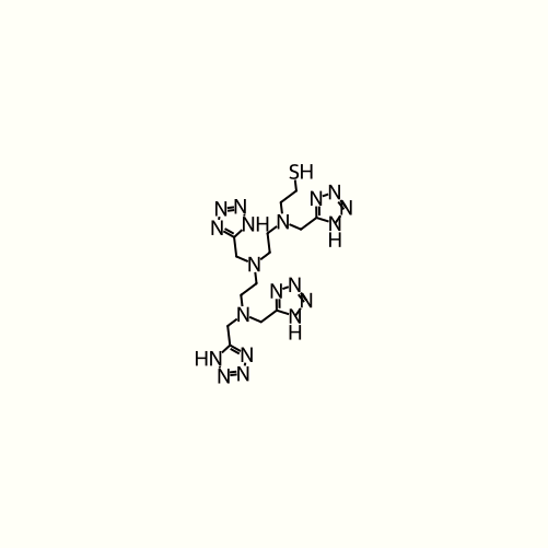 SCCN(CCN(CCN(Cc1nnn[nH]1)Cc1nnn[nH]1)Cc1nnn[nH]1)Cc1nnn[nH]1